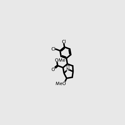 COC(=O)C1C(c2ccc(Cl)c(Cl)c2)CC2CC(OC)C1N2